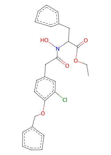 CCOC(=O)C(Cc1ccccc1)N(O)C(=O)Cc1ccc(OCc2ccccc2)c(Cl)c1